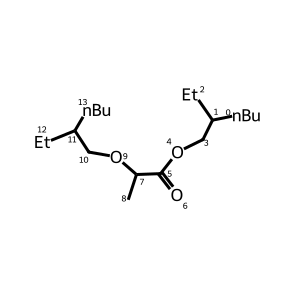 CCCCC(CC)COC(=O)C(C)OCC(CC)CCCC